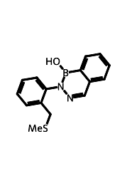 CSCc1ccccc1N1N=Cc2ccccc2B1O